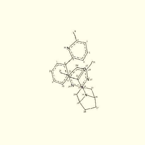 Cc1cccc(-c2ccccc2C(=O)N2CC3CCC(C2)N3c2nc(C)cc(C)n2)n1